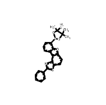 CC1(C)OB(c2cccc3c2oc2ccc4sc(-c5ccccc5)nc4c23)OC1(C)C